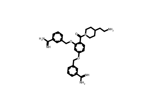 N=C(N)c1cccc(COc2ccc(C(=O)N3CCC(CCN)CC3)c(OCc3cccc(C(=N)N)c3)c2)c1